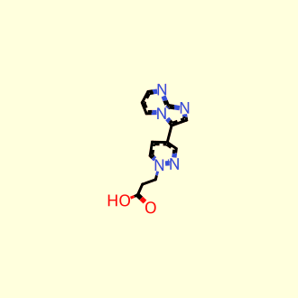 O=C(O)CC[n+]1ccc(-c2cnc3ncccn23)cn1